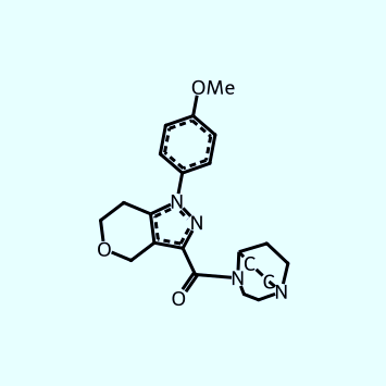 COc1ccc(-n2nc(C(=O)N3CCN4CCC3CC4)c3c2CCOC3)cc1